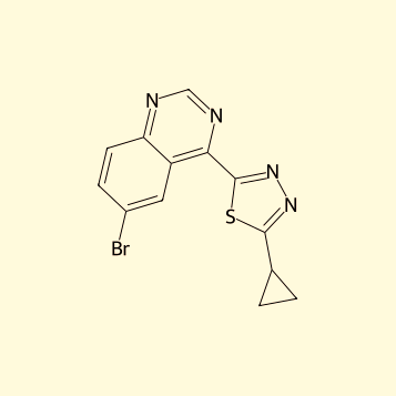 Brc1ccc2ncnc(-c3nnc(C4CC4)s3)c2c1